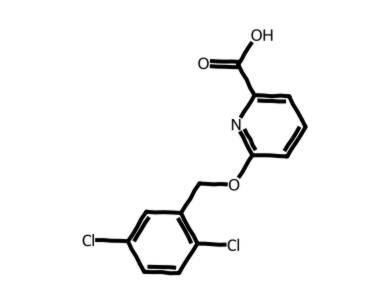 O=C(O)c1cccc(OCc2cc(Cl)ccc2Cl)n1